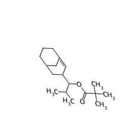 CC(C)C(OC(=O)C(C)(C)C)C1C=C2CCCC(C2)C1